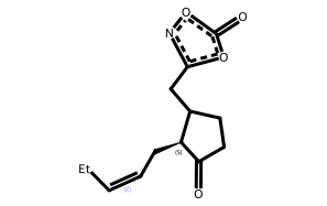 CC/C=C\C[C@@H]1C(=O)CCC1Cc1noc(=O)o1